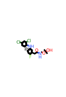 CC(C)c1cc(Cl)cc(Cl)c1Nc1ccc(F)c(CC(=O)NCOC(C)(C)O)c1